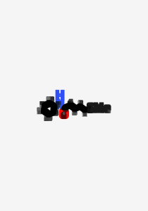 CSCCC=CC(=O)Nc1ccccc1